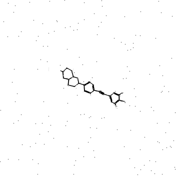 CC1CCC2CC(c3ccc(C#Cc4cc(F)c(F)c(F)c4)cc3)CCC2C1